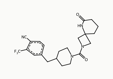 N#Cc1ccc(CC2CCN(C(=O)N3CC4(CCCC(=O)N4)C3)CC2)cc1C(F)(F)F